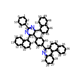 c1ccc(-c2nc(-c3cccc4ccccc34)c(-c3ccc(-c4nc5ccccc5c5c4ccc4ccccc45)cc3)c(-c3cccc4ccccc34)n2)cc1